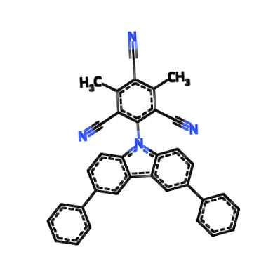 Cc1c(C#N)c(C)c(C#N)c(-n2c3ccc(-c4ccccc4)cc3c3cc(-c4ccccc4)ccc32)c1C#N